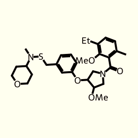 CCc1ccc(C)c(C(=O)N2CC(OC)C(Oc3cccc(CSN(C)C4CCOCC4)c3)C2)c1OC